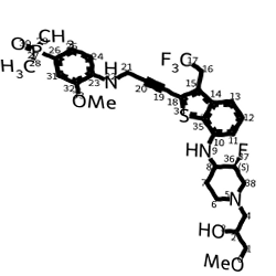 COCC(O)CN1CCC(Nc2cccc3c(CC(F)(F)F)c(C#CCNc4ccc(P(C)(C)=O)cc4OC)sc23)[C@@H](F)C1